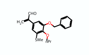 C=C(C=O)c1cc(OCc2ccccc2)c(OCCC)c(SC)c1